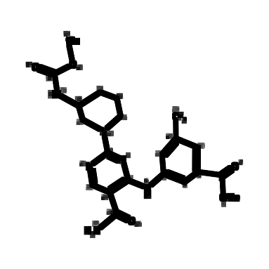 COC(=O)c1cc(Nc2nc(N3CCCC(NC(=O)OC(C)(C)C)C3)ncc2C(N)=O)cc(C(F)(F)F)c1